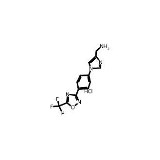 Cl.NCc1cn(-c2ccc(-c3noc(C(F)(F)F)n3)cc2)cn1